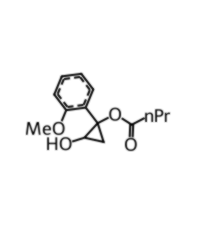 CCCC(=O)OC1(c2ccccc2OC)CC1O